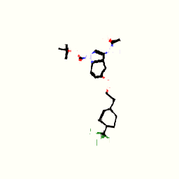 CC(=O)Nc1cn(C(=O)OC(C)(C)C)c2ccc(OCCC3CCC(C(F)(F)F)CC3)cc12